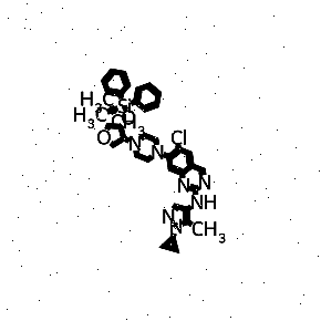 Cc1c(Nc2ncc3cc(Cl)c(N4CCN(C5COCC5O[Si](c5ccccc5)(c5ccccc5)C(C)(C)C)CC4)cc3n2)cnn1C1CC1